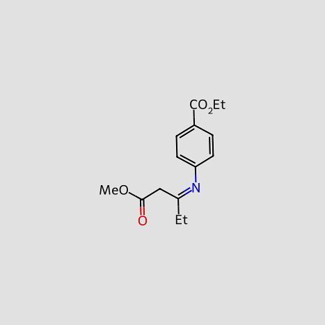 CCOC(=O)c1ccc(N=C(CC)CC(=O)OC)cc1